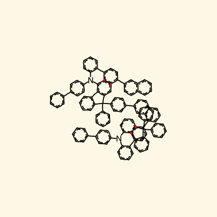 c1ccc(-c2ccc(N(c3ccccc3-c3ccc(-c4cccc5ccc(-c6ccc(C7(c8ccccc8)c8ccccc8-c8c(N(c9ccc(-c%10ccccc%10)cc9)c9ccccc9-c9ccc(-c%10ccc%11ccccc%11c%10)cc9)cccc87)cc6)cc45)cc3)c3cccc4c3-c3ccccc3C4(c3ccccc3)c3ccccc3)cc2)cc1